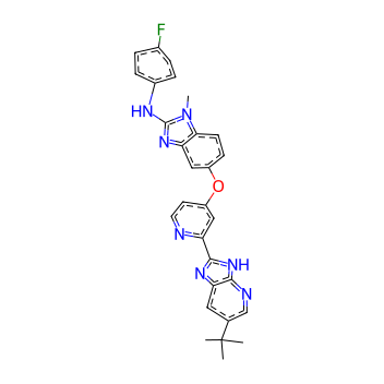 Cn1c(Nc2ccc(F)cc2)nc2cc(Oc3ccnc(-c4nc5cc(C(C)(C)C)cnc5[nH]4)c3)ccc21